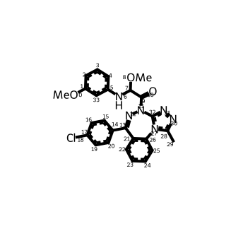 COc1cccc(NC(OC)C(=O)N2N=C(c3ccc(Cl)cc3)c3ccccc3-n3c(C)nnc32)c1